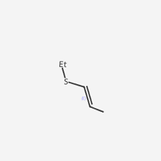 C/C=C/SCC